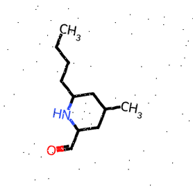 CCCCC1CC(C)CC(C=O)N1